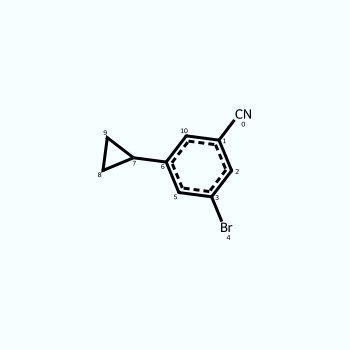 N#Cc1cc(Br)cc(C2CC2)c1